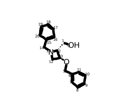 OC[C@@H]1[C@@H](OCc2ccccc2)CN1Cc1ccccc1